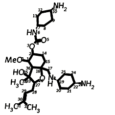 COC1C(OC(=O)N[C@H]2CC[C@H](N)CC2)CCC2(CN[C@H]3CC[C@H](N)CC3)OC(CC=C(C)C)C(C)(O)C12